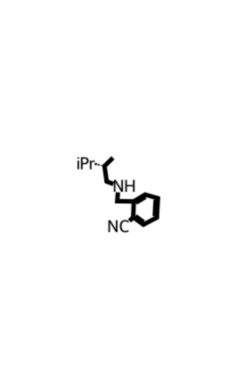 CC(C)[C@H](C)CNCc1ccccc1C#N